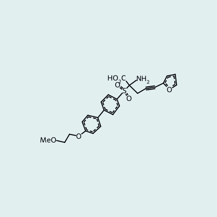 COCCOc1ccc(-c2ccc(S(=O)(=O)C(N)(CC#Cc3ccco3)C(=O)O)cc2)cc1